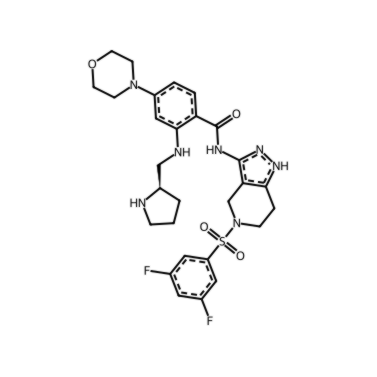 O=C(Nc1n[nH]c2c1CN(S(=O)(=O)c1cc(F)cc(F)c1)CC2)c1ccc(N2CCOCC2)cc1NC[C@H]1CCCN1